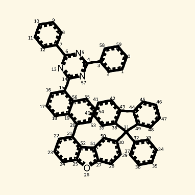 c1ccc(-c2nc(-c3ccccc3)nc(-c3cccc4c(-c5cccc6oc7ccc(C8(c9ccccc9)c9ccccc9-c9ccccc98)cc7c56)cccc34)n2)cc1